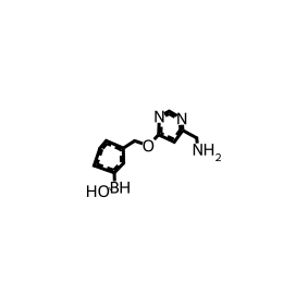 NCc1cc(OCc2cccc(BO)c2)ncn1